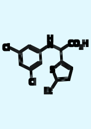 CCc1ccc(C(Nc2cc(Cl)cc(Cl)c2)C(=O)O)s1